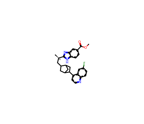 COC(=O)c1ccc2[nH]c([C@H](C)CC3CC4CC3CC4c3ccnc4ccc(F)cc34)nc2c1